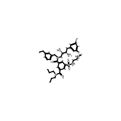 CCCN(CCC)C(=O)c1cc(C(=O)N(Cc2cccc(CC)c2)C[C@@H](O)[C@@H](N)Cc2cc(F)cc(F)c2)cc(S(=O)(=O)NCCNC)c1